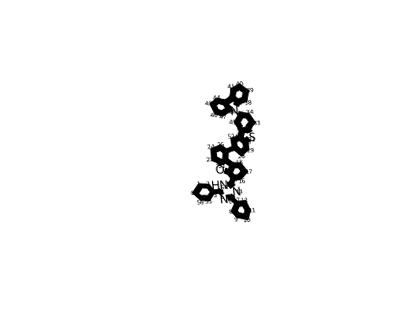 C1=CCC(C2N=C(c3ccccc3)N=C(c3cccc4c3oc3cccc(-c5ccc6sc7ccc(-n8c9ccccc9c9ccccc98)cc7c6c5)c34)N2)C=C1